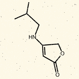 CC(C)CNC1=CC(=O)OC1